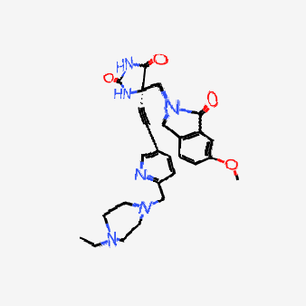 CCN1CCN(Cc2ccc(C#C[C@]3(CN4Cc5ccc(OC)cc5C4=O)NC(=O)NC3=O)cn2)CC1